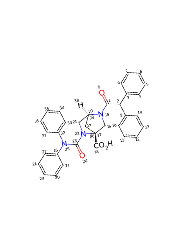 O=C(C(c1ccccc1)c1ccccc1)N1C[C@@]2(C(=O)O)C[C@H]1CN2C(=O)N(c1ccccc1)c1ccccc1